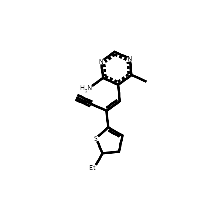 C#C/C(=C\c1c(C)ncnc1N)C1=CCC(CC)S1